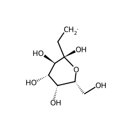 [CH2]C[C@]1(O)O[C@H](CO)[C@H](O)[C@H](O)[C@H]1O